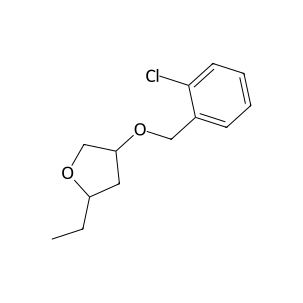 CCC1CC(OCc2ccccc2Cl)CO1